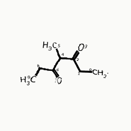 [CH2]CC(=O)C(C)C(=O)CC